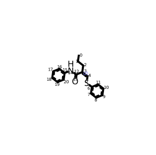 CCC/C(=C/Sc1ccccc1)C(=O)Nc1ccccc1